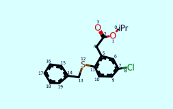 CC(C)OC(=O)Cc1cc(Cl)ccc1SCc1ccccc1